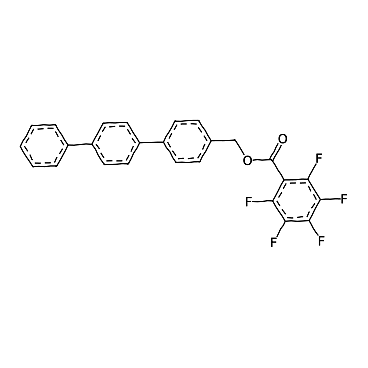 O=C(OCc1ccc(-c2ccc(-c3ccccc3)cc2)cc1)c1c(F)c(F)c(F)c(F)c1F